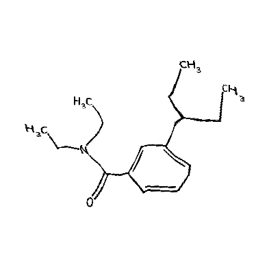 CCC(CC)c1cccc(C(=O)N(CC)CC)c1